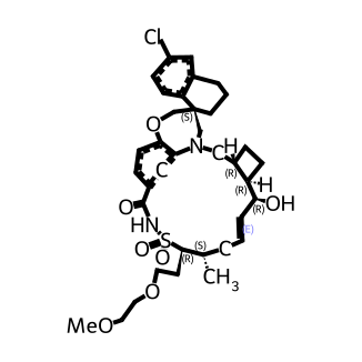 COCCOCC[C@@H]1[C@@H](C)C/C=C/[C@H](O)[C@@H]2CC[C@H]2CN2C[C@@]3(CCCc4cc(Cl)ccc43)COc3ccc(cc32)C(=O)NS1(=O)=O